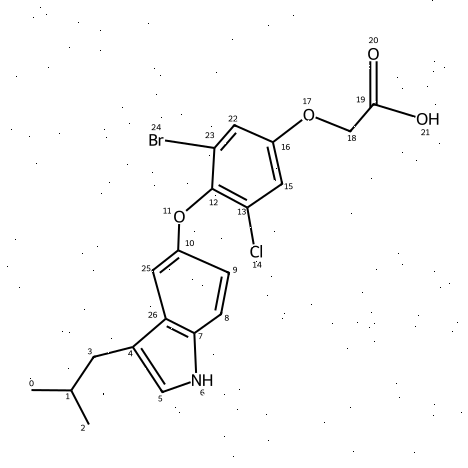 CC(C)Cc1c[nH]c2ccc(Oc3c(Cl)cc(OCC(=O)O)cc3Br)cc12